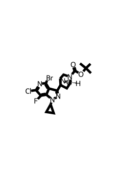 CC(C)(C)OC(=O)N1CC2CC[C@H]1CN2c1nn(C2CC2)c2c(F)c(Cl)nc(Br)c12